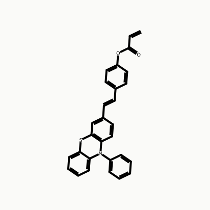 C=CC(=O)Oc1ccc(C=Cc2ccc3c(c2)Sc2ccccc2N3c2ccccc2)cc1